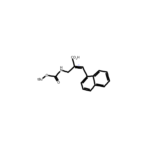 CC(C)(C)OC(=O)NC/C(=C\c1cccc2ccccc12)C(=O)O